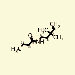 C=CC(C)(C)CCNC(=O)CCC